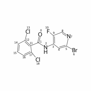 O=C(Nc1cc(Br)ncc1F)c1c(Cl)cccc1Cl